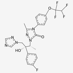 Cc1nn([C@H](C)[C@](O)(Cn2cncn2)c2ccc(F)cc2)c(=O)n1-c1ccc(OC(F)(F)C(F)F)cc1